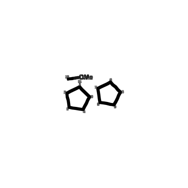 C1CCCC1.C1CCCC1.COC